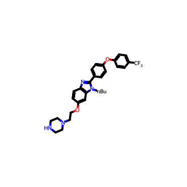 CCCCn1c(-c2ccc(Oc3ccc(C(F)(F)F)cc3)cc2)nc2ccc(OCCN3CCNCC3)cc21